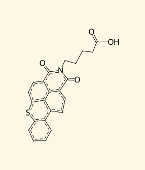 O=C(O)CCCCn1c(=O)c2ccc3sc4ccccc4c4ccc(c1=O)c2c34